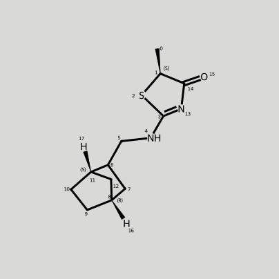 C[C@@H]1SC(NCC2C[C@@H]3CC[C@H]2C3)=NC1=O